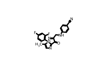 CC1=CN=C2C(=O)C(CNc3ccc(C#N)cc3)=N[N+]12c1ccc(F)cc1F